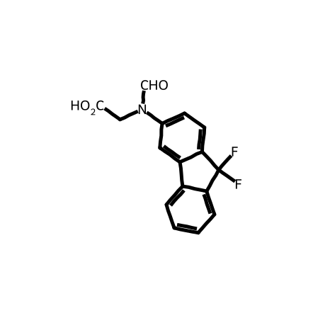 O=CN(CC(=O)O)c1ccc2c(c1)-c1ccccc1C2(F)F